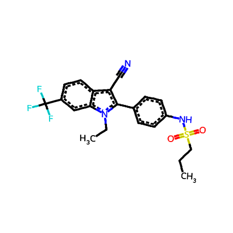 CCCS(=O)(=O)Nc1ccc(-c2c(C#N)c3ccc(C(F)(F)F)cc3n2CC)cc1